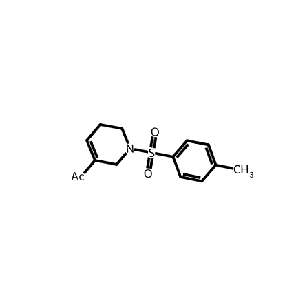 CC(=O)C1=CCCN(S(=O)(=O)c2ccc(C)cc2)C1